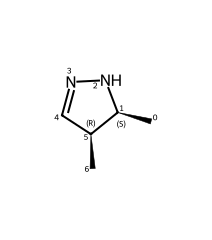 C[C@@H]1NN=C[C@@H]1C